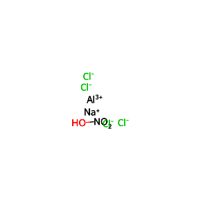 O=[N+]([O-])O.[Al+3].[Cl-].[Cl-].[Cl-].[Cl-].[Na+]